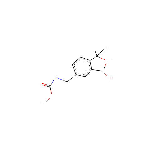 CC(C)(C)OC(=O)NCc1ccc2c(c1)B(O)OC2(C)C